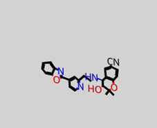 CC1(C)Oc2ccc(C#N)cc2[C@H](NCCc2cc(-c3nc4ccccc4o3)ccn2)[C@H]1O